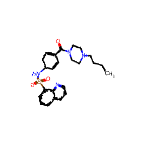 CCCCN1CCN(C(=O)C2=CCC(NS(=O)(=O)c3cccc4cccnc34)C=C2)CC1